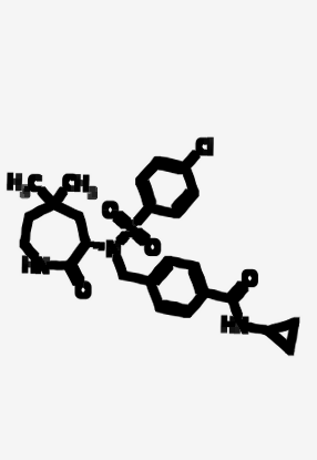 CC1(C)CCNC(=O)[C@@H](N(Cc2ccc(C(=O)NC3CC3)cc2)S(=O)(=O)c2ccc(Cl)cc2)C1